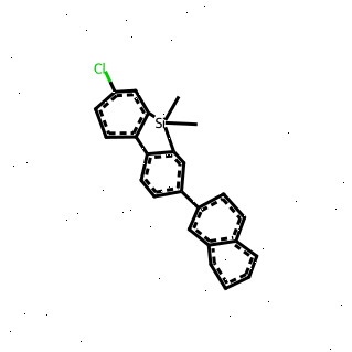 C[Si]1(C)c2cc(Cl)ccc2-c2ccc(-c3ccc4ccccc4c3)cc21